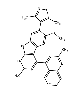 COc1cc2c3c([nH]c2cc1-c1c(C)noc1C)NC(C)N=C3c1cc(C)nc2ccccc12